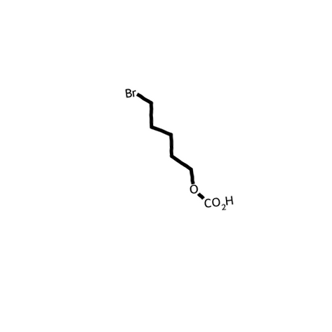 O=C(O)OCCCCCBr